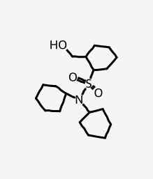 O=S(=O)(C1CCCCC1CO)N(C1CCCCC1)C1CCCCC1